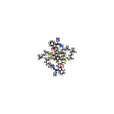 C=C1C=C(/C=C2\C(=O)c3ccccc3C2=C(C#N)C#N)SC2C(=CC3=C(C(=C(SCCC(C)CCCC(C)C)SCCC(C)CCCC(C)C)c4cc(/C=C5\C(=O)c6ccccc6C5=C(C#N)C#N)sc43)[C@H]2C)C1=C(SCCC(C)CCCC(C)C)SCCC(C)CCCC(C)C